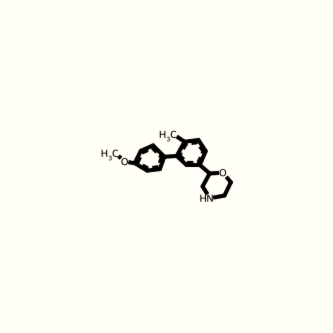 COc1ccc(-c2cc(C3CNCCO3)ccc2C)cc1